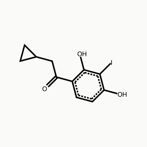 O=C(CC1CC1)c1ccc(O)c(I)c1O